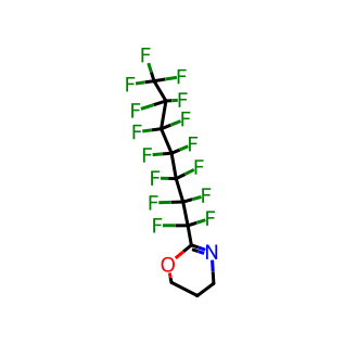 FC(F)(F)C(F)(F)C(F)(F)C(F)(F)C(F)(F)C(F)(F)C(F)(F)C1=NCCCO1